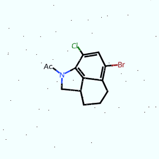 CC(=O)N1CC2CCCc3c(Br)cc(Cl)c1c32